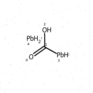 O=[C](O)[PbH].[PbH2]